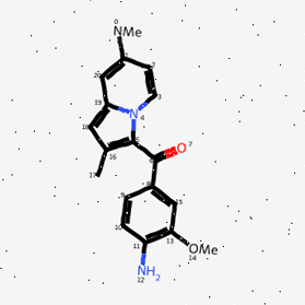 CNc1ccn2c(C(=O)c3ccc(N)c(OC)c3)c(C)[c]c2c1